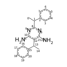 CC(c1ccccc1)c1nc(N)c(C(C)c2ccccc2)c(N)n1